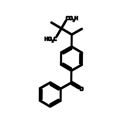 CC(c1ccc(C(=O)c2ccccc2)cc1)C(C)(C(=O)O)C(=O)O